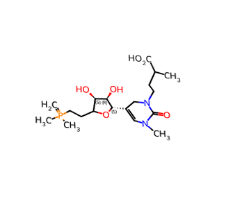 C=P(C)(C)CCC1O[C@@H](C2=CN(C)C(=O)N(CCC(C)C(=O)O)C2)[C@H](O)[C@@H]1O